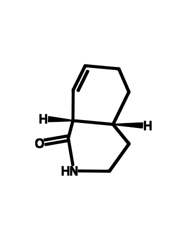 O=C1NCC[C@H]2CCC=C[C@@H]12